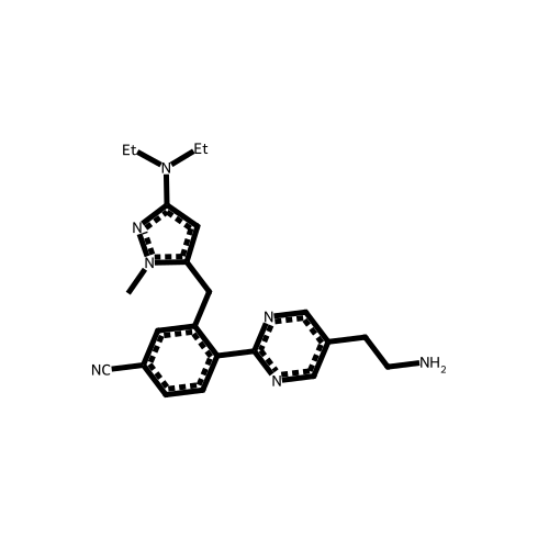 CCN(CC)c1cc(Cc2cc(C#N)ccc2-c2ncc(CCN)cn2)n(C)n1